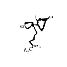 CN(C)CCCCC1(c2ccc(Cl)cc2F)CCC1.Cl